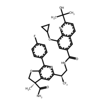 CC(C)(O)c1ccc2cc(C(=O)NC[C@H](c3cc4c(c(-c5ccc(F)cc5)n3)OC[C@]4(C)C(N)=O)C(F)(F)F)cc(OC3CC3)c2n1